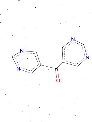 O=C(c1cncnc1)c1cncnc1